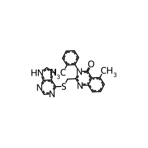 Cc1ccccc1-n1c(CSc2ncnc3[nH]cnc23)nc2cccc(C)c2c1=O